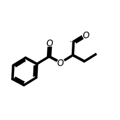 CCC([C]=O)OC(=O)c1ccccc1